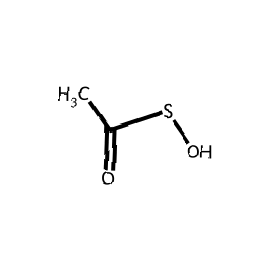 CC(=O)SO